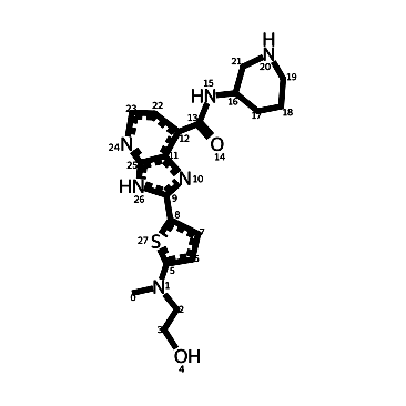 CN(CCO)c1ccc(-c2nc3c(C(=O)NC4CCCNC4)ccnc3[nH]2)s1